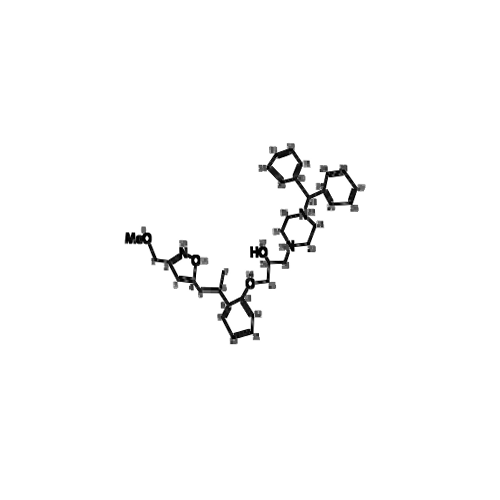 COCc1cc(C=C(C)c2ccccc2OCC(O)CN2CCN(C(c3ccccc3)c3ccccc3)CC2)on1